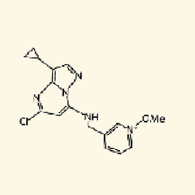 CO[n+]1cccc(CNc2cc(Cl)nc3c(C4CC4)cnn23)c1